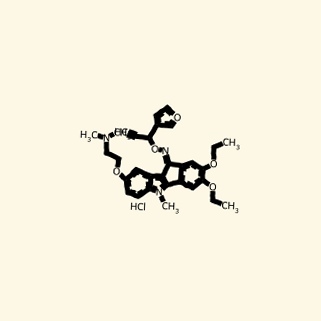 C#CC(ON=C1c2cc(OCC)c(OCC)cc2-c2c1c1cc(OCCN(C)C)ccc1n2C)c1ccoc1.Cl